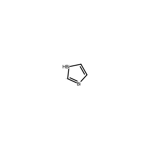 [C]1=[Bi][CH]=[CH][BiH]1